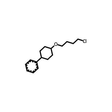 ClCCCCOC1CCC(c2ccccc2)CC1